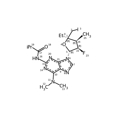 CC[C@@]1(CI)O[C@@H](n2cnc3c(N(C)C)nc(NC(=O)C(C)C)nc32)[C@H](F)[C@@H]1C